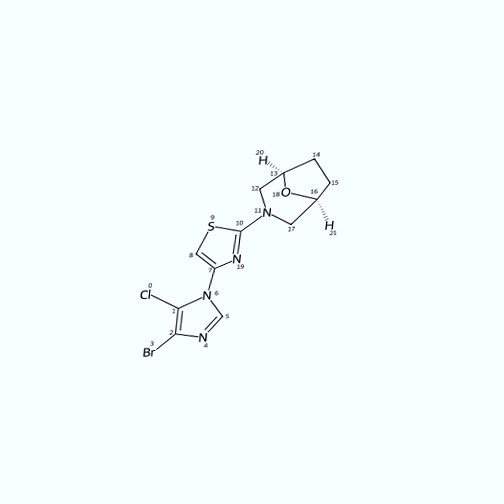 Clc1c(Br)ncn1-c1csc(N2C[C@H]3CC[C@@H](C2)O3)n1